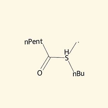 [CH2][SH](CCCC)C(=O)CCCCC